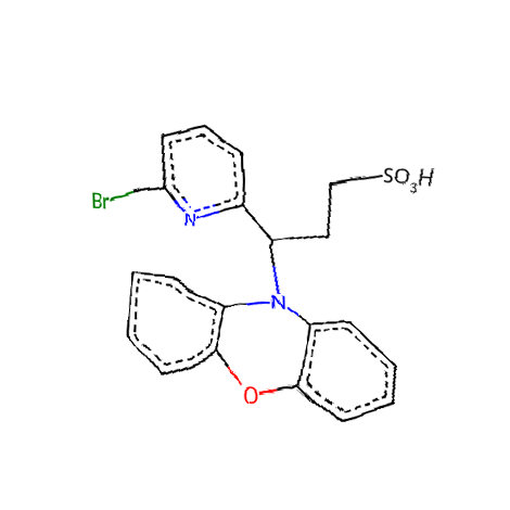 O=S(=O)(O)CCC(c1cccc(Br)n1)N1c2ccccc2Oc2ccccc21